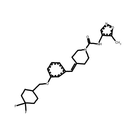 Cc1oncc1NC(=O)N1CCC(=Cc2cccc(OCC3CCC(F)(F)CC3)c2)CC1